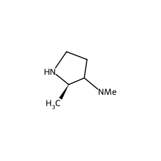 CNC1CCN[C@@H]1C